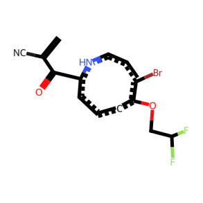 C=C(C#N)C(=O)c1cccc(OCC(F)F)c(Br)cc[nH]1